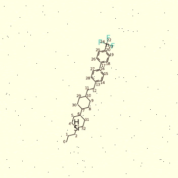 CCC[SiH]1CCC(C2CCC(CCc3ccc(-c4ccc(C(F)(F)F)cc4)cc3)CC2)CC1